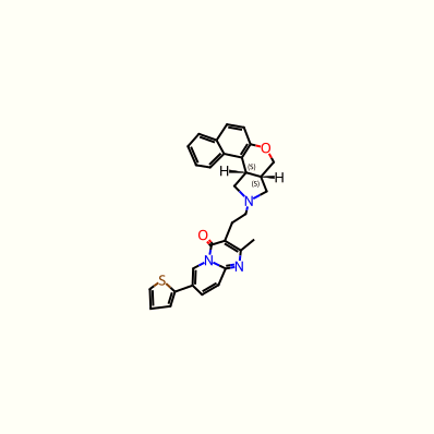 Cc1nc2ccc(-c3cccs3)cn2c(=O)c1CCN1C[C@H]2COc3ccc4ccccc4c3[C@H]2C1